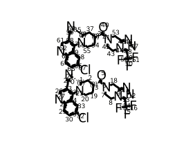 C[C@@H]1C[C@H](C(=O)N2CCn3c(nnc3C(F)(F)F)C2)CCN1c1c(C#N)cnc2ccc(Cl)cc12.C[C@H]1C[C@@H](C(=O)N2CCn3c(nnc3C(F)(F)F)C2)CCN1c1c(C#N)cnc2ccc(Cl)cc12